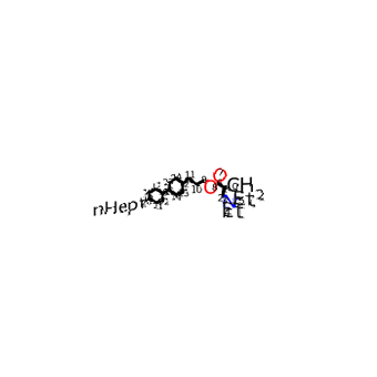 C=C(CN(CC)CC)C(=O)OCCCC1CCC(C2CCC(CCCCCCC)CC2)CC1